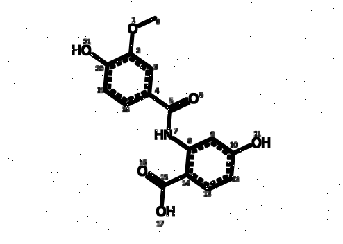 COc1cc(C(=O)Nc2cc(O)ccc2C(=O)O)ccc1O